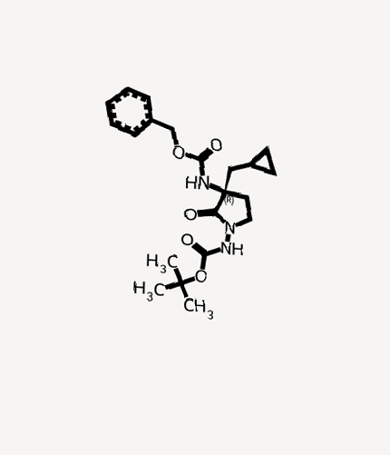 CC(C)(C)OC(=O)NN1CC[C@@](CC2CC2)(NC(=O)OCc2ccccc2)C1=O